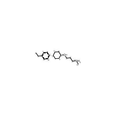 CCc1ccc([C@H]2CC[C@H](OCCC[SiH2]I)CC2)cc1